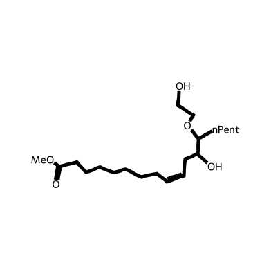 CCCCCC(OCCO)C(O)C/C=C\CCCCCCCC(=O)OC